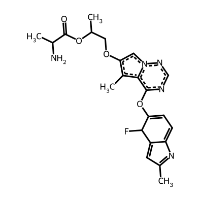 CC1=NC2=CC=C(Oc3ncnn4cc(OCC(C)OC(=O)C(C)N)c(C)c34)C(F)C2=C1